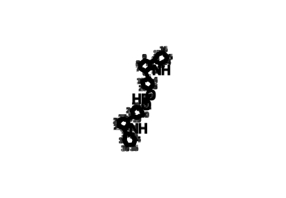 B(Oc1ccc(-c2cccc3c2[nH]c2ccccc23)cc1)Oc1ccc(-c2cccc3c2[nH]c2ccccc23)cc1